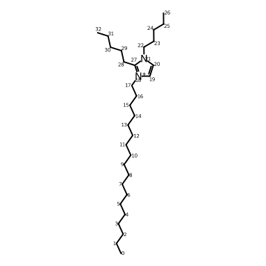 CCCCCCCCCCCCCCCCCC[n+]1ccn(CCCCC)c1CCCCC